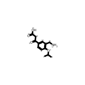 CC(C)Oc1ccc(C(=O)CC(=O)O)cc1CN